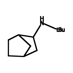 CC(C)(C)NC1CC2CCC1C2